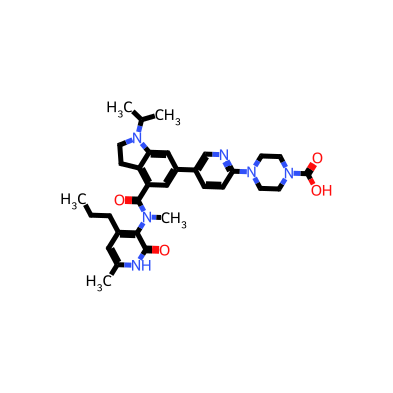 CCCc1cc(C)[nH]c(=O)c1N(C)C(=O)c1cc(-c2ccc(N3CCN(C(=O)O)CC3)nc2)cc2c1CCN2C(C)C